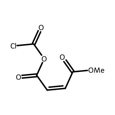 COC(=O)/C=C\C(=O)OC(=O)Cl